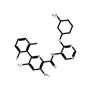 Nc1cc(C(F)(F)F)c(-c2c(F)cccc2F)nc1C(=O)Nc1cncnc1OC1CCCC(N)C1